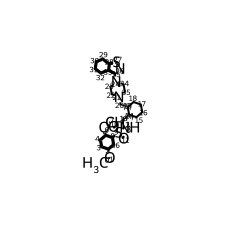 COc1ccc(OC)c(S(=O)(=O)NC[C@@H]2CCCC[C@@H]2CN2CCN(c3nsc4ccccc34)CC2)c1